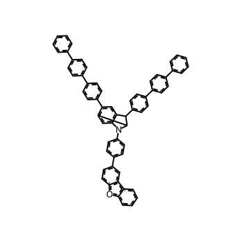 c1ccc(-c2ccc(-c3ccc(-c4cc5c6cc4C(C5c4ccc(-c5ccc(-c7ccccc7)cc5)cc4)N6c4ccc(-c5ccc6oc7ccccc7c6c5)cc4)cc3)cc2)cc1